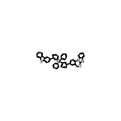 c1ccc([Si](c2ccccc2)(c2cccc(-c3ccc4c(c3)COc3nc5ccccc5n3-4)c2)c2cccc(-c3ccc4sc5ccccc5c4c3)c2)cc1